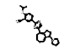 CC(C)Oc1ccc(-c2ncc(C3=C4CCC(N5CCCC5)C4=CCC=C3)s2)cc1C#N